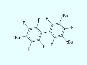 CC(C)(C)c1c(F)c(F)c(-c2c(F)c(C(C)(C)C)c(F)c(C(C)(C)C)c2F)c(F)c1F